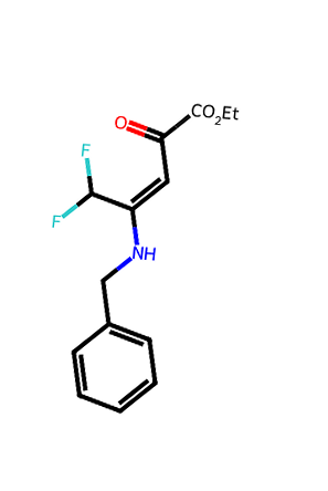 CCOC(=O)C(=O)C=C(NCc1ccccc1)C(F)F